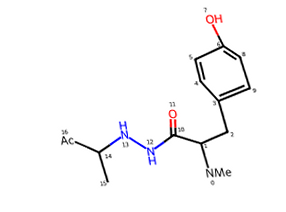 CNC(Cc1ccc(O)cc1)C(=O)NNC(C)C(C)=O